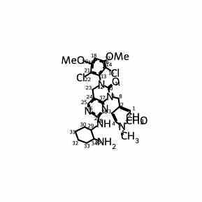 C/C=C(\C=C/N(C)C=O)CN1C(=O)N(c2c(Cl)c(OC)cc(OC)c2Cl)Cc2cnc(NC3CCCCC3N)nc21